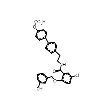 Cc1cccc(COc2ccc(Cl)cc2C(=O)NCCc2ccc(-c3ccc(OC(=O)O)cc3)cc2)c1